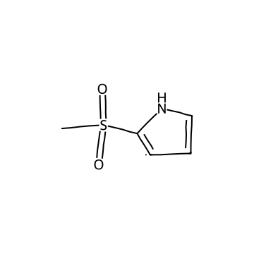 CS(=O)(=O)c1[c]cc[nH]1